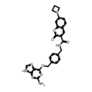 Nc1nc(OCc2ccc(CNC(=O)c3cc4ccc(N5CCC5)cc4oc3=O)cc2)c2nc[nH]c2n1